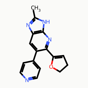 Cc1nc2cc(-c3ccncc3)c(C3=CCCO3)nc2[nH]1